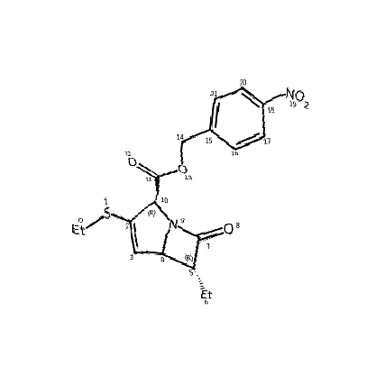 CCSC1=CC2[C@@H](CC)C(=O)N2[C@@H]1C(=O)OCc1ccc([N+](=O)[O-])cc1